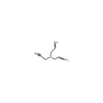 C#CCP(CC=C)CC=C